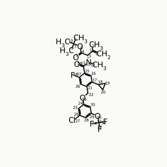 C=C(C)[C@@H](C(=O)OC(C)(C)C)N(C)C(=O)c1cc(C2CC2)c(COc2cc(Cl)cc(OC(F)(F)F)c2)cc1F